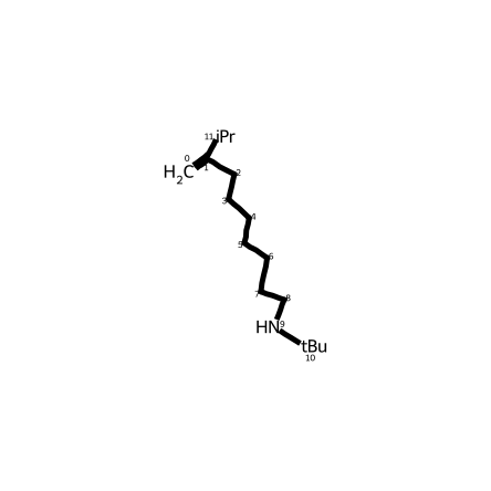 C=C(CCCCCCCNC(C)(C)C)C(C)C